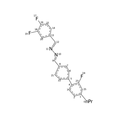 CCCc1ccc(-c2ccc(C=NN=Cc3ccc(F)c(F)c3)cc2)c(F)c1